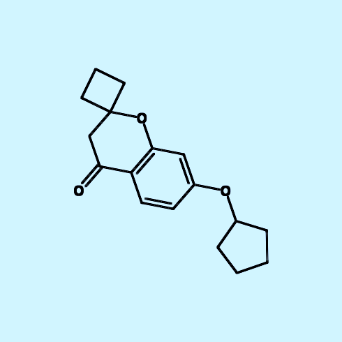 O=C1CC2(CCC2)Oc2cc(OC3CCCC3)ccc21